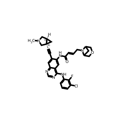 CN1C[C@H]2C[C@@]2(C#Cc2cc3ncnc(Nc4cccc(Cl)c4F)c3cc2NC(=O)C=CCN2C3COCC2C3)C1